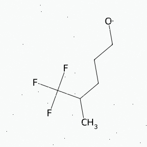 CC(CCC[O])C(F)(F)F